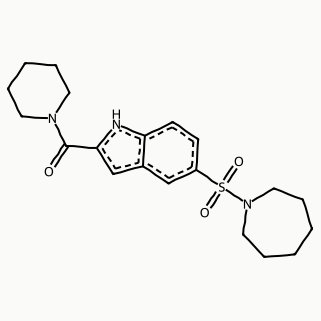 O=C(c1cc2cc(S(=O)(=O)N3CCCCCC3)ccc2[nH]1)N1CCCCC1